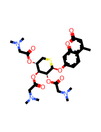 Cc1cc(=O)oc2cc(O[C@@H]3SC[C@@H](OC(=O)CN(C)C)[C@H](OC(=O)CN(C)C)[C@H]3OC(=O)CN(C)C)ccc12